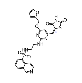 O=C1NC(=O)/C(=C\c2cc(OCc3ccco3)nc(NCCNS(=O)(=O)c3cccc4cnccc34)n2)S1